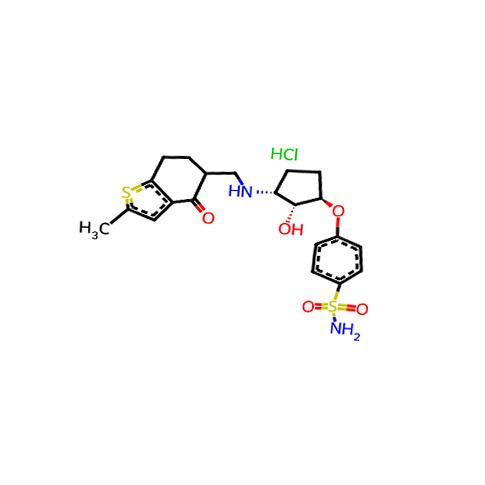 Cc1cc2c(s1)CCC(CN[C@@H]1CC[C@@H](Oc3ccc(S(N)(=O)=O)cc3)[C@@H]1O)C2=O.Cl